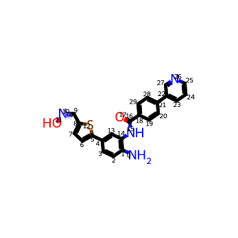 Nc1ccc(-c2ccc(/C=N\O)s2)cc1NC(=O)c1ccc(-c2cccnc2)cc1